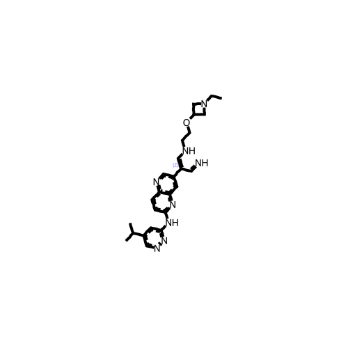 CCN1CC(OCCN/C=C(\C=N)c2cnc3ccc(Nc4cc(C(C)C)cnn4)nc3c2)C1